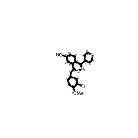 COc1ccc(Cc2nnc(-c3ccncc3)c3ccc(C#N)cc23)cc1Cl